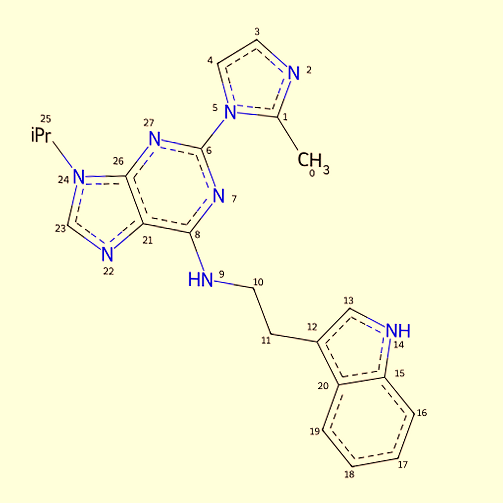 Cc1nccn1-c1nc(NCCc2c[nH]c3ccccc23)c2ncn(C(C)C)c2n1